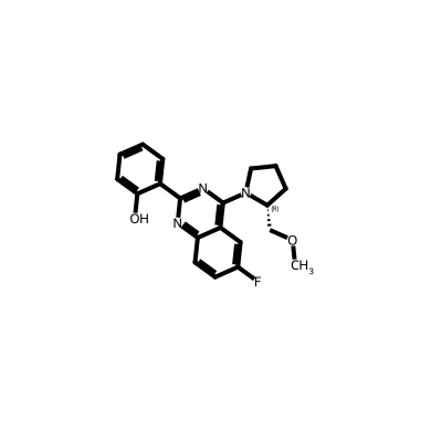 COC[C@H]1CCCN1c1nc(-c2ccccc2O)nc2ccc(F)cc12